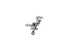 CCCCCCCCCCCCOC(=O)CCSCCC(NC(=O)C(CCCCCC)CCCCCCCC)C(=O)NCCN1CCCCC1